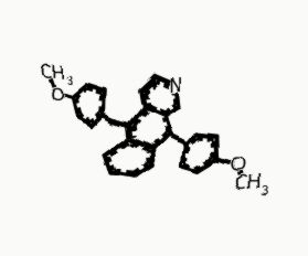 COc1ccc(-c2c3ccccc3c(-c3ccc(OC)cc3)c3cnccc23)cc1